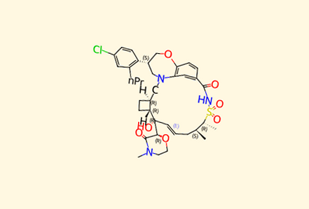 CCCc1cc(Cl)ccc1[C@@H]1COc2ccc3cc2N(C1)C[C@@H]1CC[C@H]1[C@](O)([C@H]1OCCN(C)C1=O)/C=C/C[C@H](C)[C@@H](C)S(=O)(=O)NC3=O